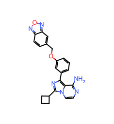 Nc1nccn2c(C3CCC3)nc(-c3cccc(OCc4ccc5nonc5c4)c3)c12